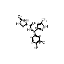 O=C1NC[C@@H](C(=O)N[C@H](c2ccc(F)c(Cl)c2)c2cc(C(F)(F)F)[nH]n2)N1